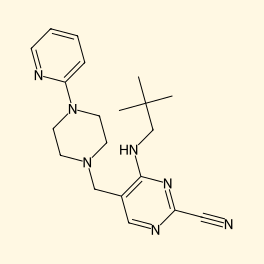 CC(C)(C)CNc1nc(C#N)ncc1CN1CCN(c2ccccn2)CC1